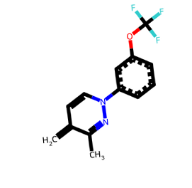 C=C1C=CN(c2cccc(OC(F)(F)F)c2)N=C1C